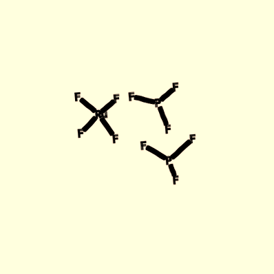 FP(F)F.FP(F)F.[F][Ru]([F])([F])[F]